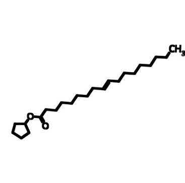 CCCCCCCCC=CCCCCCCCC(=O)OC1CCCC1